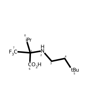 CC(C)C(NCCC(C)(C)C)(C(=O)O)C(F)(F)F